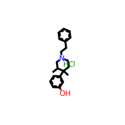 CC1CN(CCc2ccccc2)CCC1(C)c1cccc(O)c1.Cl